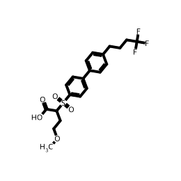 COCCC(C(=O)O)S(=O)(=O)c1ccc(-c2ccc(CCCC(F)(F)F)cc2)cc1